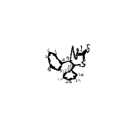 S=C1N=C(c2ccccc2)C(c2ccccc2)S1